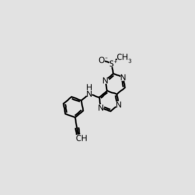 C#Cc1cccc(Nc2ncnc3cnc([S+](C)[O-])nc23)c1